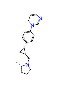 C[C@H]1CCCN1C[C@H]1C[C@@H]1c1ccc(N2C=NC=CC2)cc1